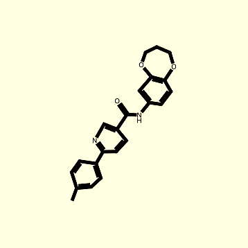 Cc1ccc(-c2ccc(C(=O)Nc3ccc4c(c3)OCCCO4)cn2)cc1